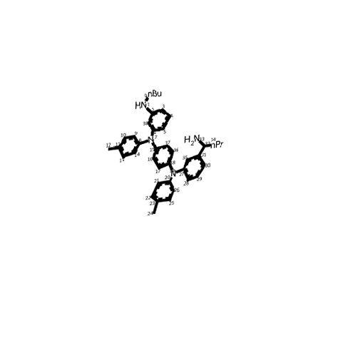 CCCCNc1cccc(N(c2ccc(C)cc2)c2ccc(N(c3ccc(C)cc3)c3cccc(C(N)CCC)c3)cc2)c1